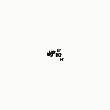 [H-].[Li+].[Mg+2].[OH-].[OH-]